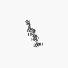 COc1cc2c(Nc3cnc(C(=O)NCCc4c[nH]c5ccc(C)cc45)nc3)ncnc2cc1OCCCN1CCOCC1